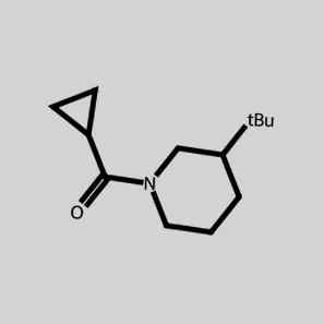 CC(C)(C)C1CCCN(C(=O)C2CC2)C1